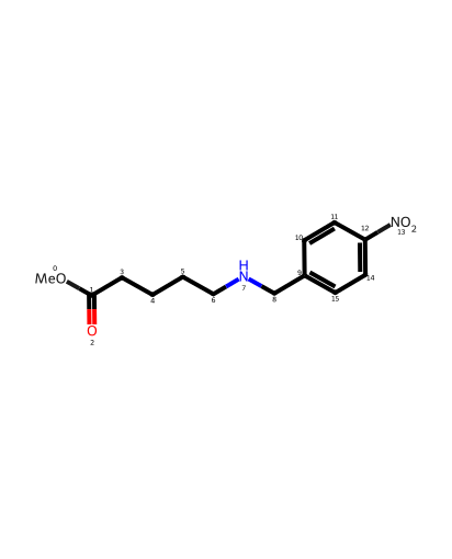 COC(=O)CCCCNCc1ccc([N+](=O)[O-])cc1